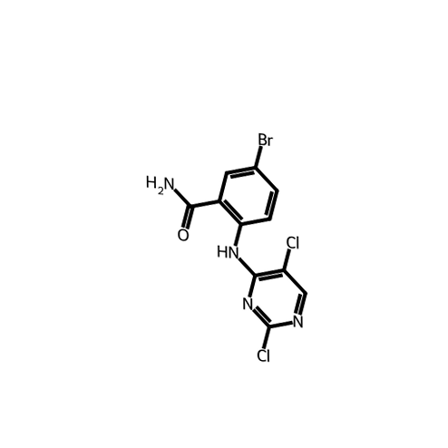 NC(=O)c1cc(Br)ccc1Nc1nc(Cl)ncc1Cl